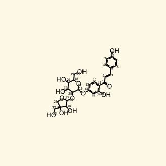 O=C(C=Cc1ccc(O)cc1)c1ccc(OC2OC(CO)C(O)C(O)C2OC2OCC(O)(CO)C2O)cc1O